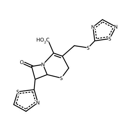 O=C(O)C1=C(CSc2ncns2)CSC2C(c3nccs3)C(=O)N12